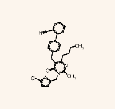 CCCCc1nc(C)n(Cc2ccc(Cl)s2)c(=O)c1Cc1ccc(-c2ccccc2C#N)cc1